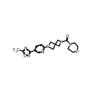 O=C(N1CCOCC1)N1CC2(C1)CN(c1ccc(-c3noc(C(F)(F)F)n3)cn1)C2